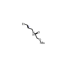 CC/C=C/CNC(=O)COCCCC